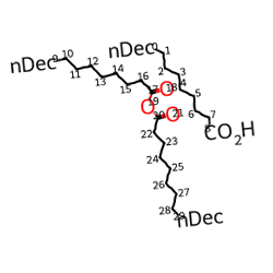 CCCCCCCCCCCCCCCCCC(=O)O.CCCCCCCCCCCCCCCCCC(=O)OC(=O)CCCCCCCCCCCCCCCCC